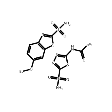 CCCC(=O)Nc1nnc(S(N)(=O)=O)s1.CCOc1ccc2nc(S(N)(=O)=O)sc2c1